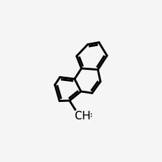 [CH]c1cccc2c1ccc1ccccc12